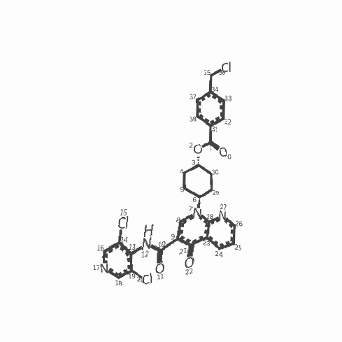 O=C(O[C@H]1CC[C@H](n2cc(C(=O)Nc3c(Cl)cncc3Cl)c(=O)c3cccnc32)CC1)c1ccc(CCl)cc1